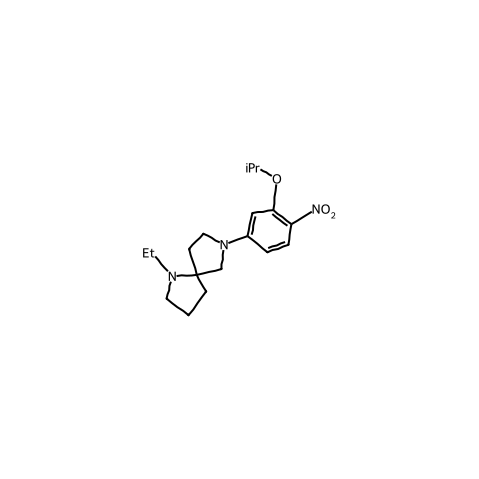 CCN1CCCC12CCN(c1ccc([N+](=O)[O-])c(OC(C)C)c1)C2